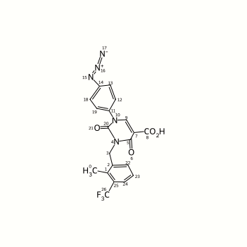 Cc1c(Cn2c(=O)c(C(=O)O)cn(-c3ccc(N=[N+]=[N-])cc3)c2=O)cccc1C(F)(F)F